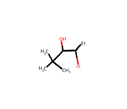 CCC([O])C(O)C(C)(C)C